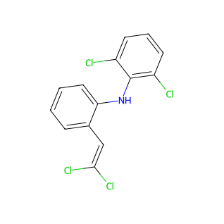 ClC(Cl)=Cc1ccccc1Nc1c(Cl)cccc1Cl